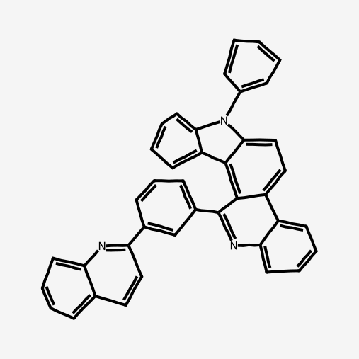 c1ccc(-n2c3ccccc3c3c4c(-c5cccc(-c6ccc7ccccc7n6)c5)nc5ccccc5c4ccc32)cc1